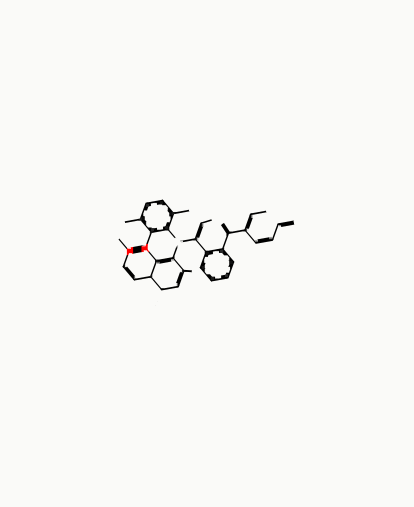 C=C/C=C\C(=C/C)C(=C)c1ccccc1/C(=C\C)B(C1=C2C=CC=CC2[C@@H](C)C=C1C)c1c(C)ccc(C)c1/C=C\C